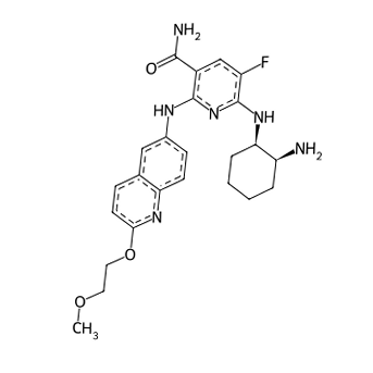 COCCOc1ccc2cc(Nc3nc(N[C@@H]4CCCC[C@@H]4N)c(F)cc3C(N)=O)ccc2n1